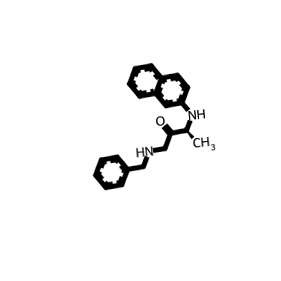 C[C@H](Nc1ccc2ccccc2c1)C(=O)CNCc1ccccc1